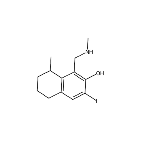 CNCc1c(O)c(I)cc2c1C(C)CCC2